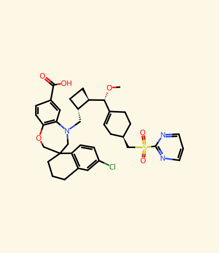 CO[C@H](C1=CC[C@H](CS(=O)(=O)c2ncccn2)CC1)[C@@H]1CC[C@H]1CN1CC2(CCCc3cc(Cl)ccc32)COc2ccc(C(=O)O)cc21